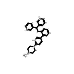 CN1CCN(c2ccc(-c3ccccc3CC(c3cccnc3)c3cccnc3)cn2)CC1